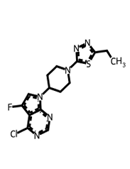 CCc1nnc(N2CCC(n3cc(F)c4c(Cl)ncnc43)CC2)s1